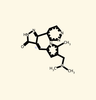 Cc1[nH]c(/C=C2/C(=O)NN=C2c2ccnnc2)cc1CN(C)C